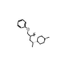 CC(CC(F)COc1ccccc1)[C@H]1CC[C@H](C)CC1